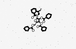 O=C(OC[C@H]1O[C@@H](n2cc(F)c3ccccc3c2=O)C(OC(=O)c2ccccc2)C1OC(=O)c1ccccc1)c1ccccc1